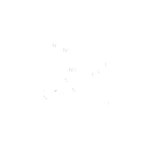 CCc1c(F)ccc2cc(O)cc(-c3c(F)cc4c(NCc5c[nH]c6ncccc56)nc(OC[C@@]56CCCN5C[C@H](F)C6)nc4c3F)c12